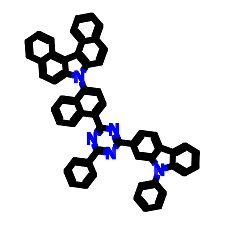 c1ccc(-c2nc(-c3ccc4c5ccccc5n(-c5ccccc5)c4c3)nc(-c3ccc(-n4c5ccc6ccccc6c5c5c6ccccc6ccc54)c4ccccc34)n2)cc1